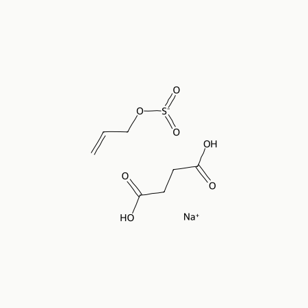 C=CCO[S-](=O)=O.O=C(O)CCC(=O)O.[Na+]